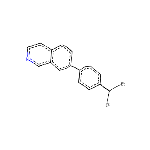 CCC(CC)c1ccc(-c2ccc3ccncc3c2)cc1